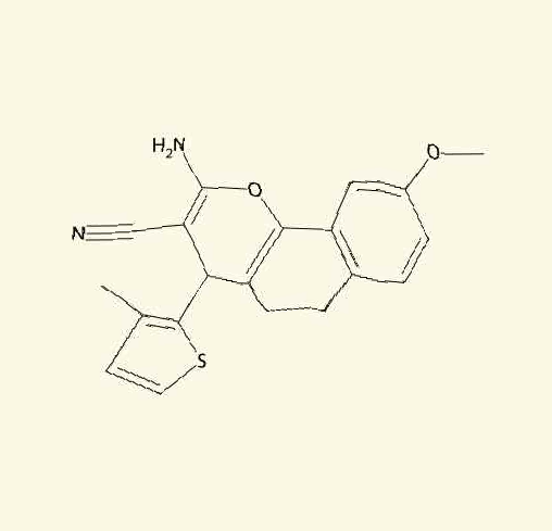 COc1ccc2c(c1)C1=C(CC2)C(c2sccc2C)C(C#N)=C(N)O1